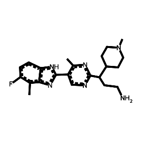 Cc1nc(C(CCN)C2CCN(C)CC2)ncc1-c1nc2c(C)c(F)ccc2[nH]1